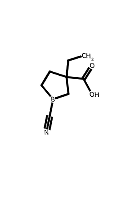 CCC1(C(=O)O)CCB(C#N)C1